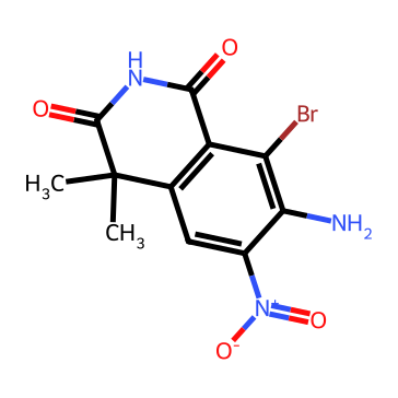 CC1(C)C(=O)NC(=O)c2c1cc([N+](=O)[O-])c(N)c2Br